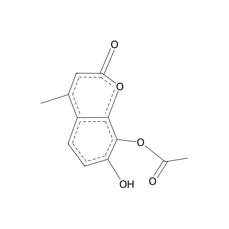 CC(=O)Oc1c(O)ccc2c(C)cc(=O)oc12